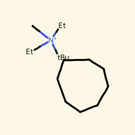 C1CCCCCCC1.CC[N+](C)(CC)C(C)(C)C